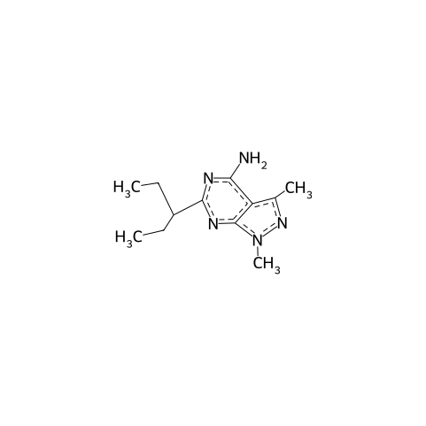 CCC(CC)c1nc(N)c2c(C)nn(C)c2n1